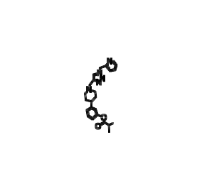 CC(C)C(=O)Oc1cccc(C2CCN(Cc3cn(Cc4ccccn4)nn3)CC2)c1